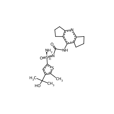 Cc1sc([S@](N)(=O)=NC(=O)Nc2c3c(nc4c2CCC4)CCC3)cc1C(C)(C)O